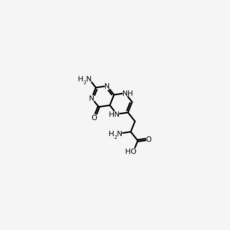 NC1=NC(=O)C2NC(CC(N)C(=O)O)=CNC2=N1